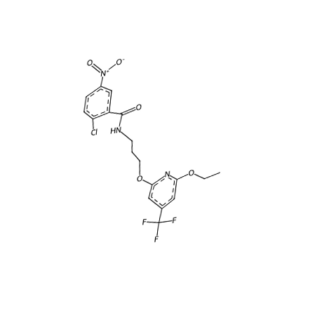 CCOc1cc(C(F)(F)F)cc(OCCCNC(=O)c2cc([N+](=O)[O-])ccc2Cl)n1